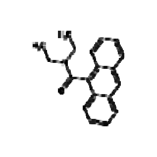 CCN(CC)C(=O)c1c2ccccc2cc2ccccc12